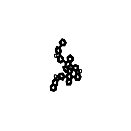 c1ccc(-c2ccc3oc4ccc(-c5c6ccccc6c(-c6ccc7oc8cccc(-c9c%10ccccc%10c(-c%10ccc%11oc%12cc%13ccccc%13cc%12c%11c%10)c%10ccccc9%10)c8c7c6)c6ccccc56)cc4c3c2)cc1